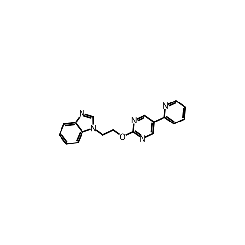 c1ccc(-c2cnc(OCCn3cnc4ccccc43)nc2)nc1